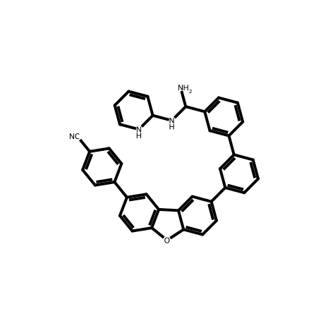 N#Cc1ccc(-c2ccc3oc4ccc(-c5cccc(-c6cccc(C(N)NC7C=CC=CN7)c6)c5)cc4c3c2)cc1